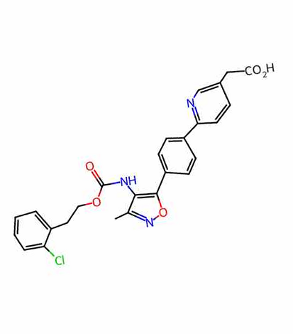 Cc1noc(-c2ccc(-c3ccc(CC(=O)O)cn3)cc2)c1NC(=O)OCCc1ccccc1Cl